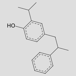 CC(C)c1cc(CC(C)c2ccccc2)ccc1O